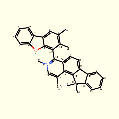 Cc1cc2c(oc3ccccc32)c(-c2c3ccc4c(c3c(C#N)c[n+]2C)[Si](C)(C)c2ccccc2-4)c1C